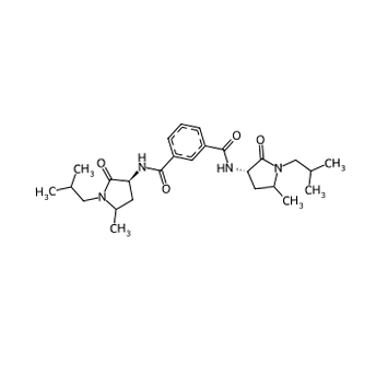 CC(C)CN1C(=O)[C@@H](NC(=O)c2cccc(C(=O)N[C@H]3CC(C)N(CC(C)C)C3=O)c2)CC1C